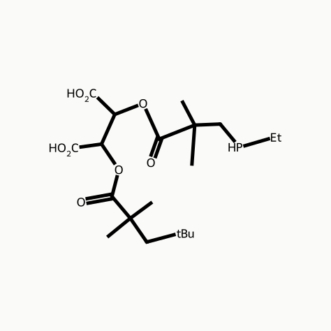 CCPCC(C)(C)C(=O)OC(C(=O)O)C(OC(=O)C(C)(C)CC(C)(C)C)C(=O)O